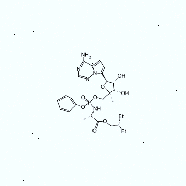 CCC(CC)COC(=O)[C@H](C)NP(=O)(OC[C@@]1(C)O[C@@H](c2ccc3c(N)ncnn23)[C@H](O)[C@@H]1O)Oc1ccccc1